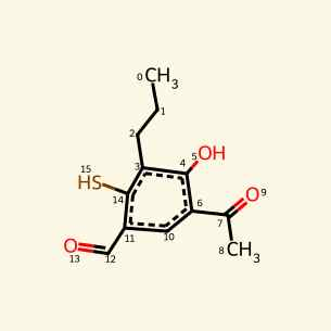 CCCc1c(O)c(C(C)=O)cc(C=O)c1S